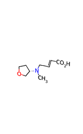 CN(CC=CC(=O)O)[C@H]1CCOC1